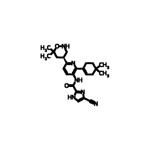 CC1(C)CC=C(c2nc([C@@H]3CNOC(C)(C)C3)ccc2NC(=O)c2nc(C#N)c[nH]2)CC1